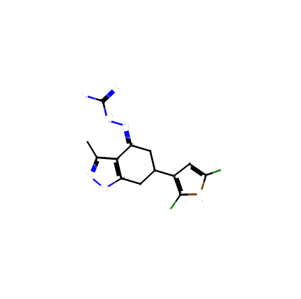 Cc1n[nH]c2c1/C(=N\NC(=N)N)CC(c1cc(Cl)sc1Cl)C2.Cl